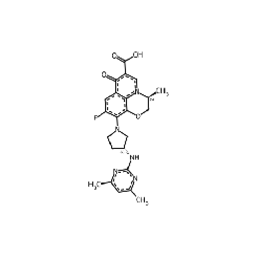 Cc1cc(C)nc(N[C@@H]2CCN(c3c(F)cc4c(=O)c(C(=O)O)cn5c4c3OC[C@@H]5C)C2)n1